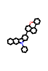 c1ccc(-n2c3ccc(-c4ccc5c6c(cccc46)-c4ccccc4O5)cc3c3cc4ccccc4cc32)cc1